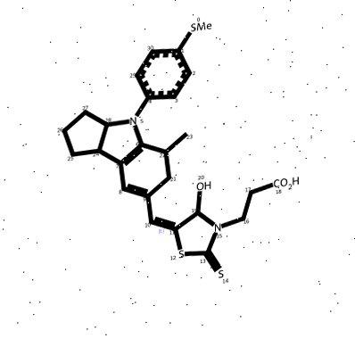 CSc1ccc(N2C3=C(C=C(/C=C4/SC(=S)N(CCC(=O)O)C4O)CC3C)C3CCCC32)cc1